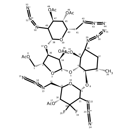 CC(=O)OC[C@H]1O[C@@H](O[C@H]2[C@H](O[C@H]3O[C@H](CN=[N+]=[N-])[C@@H](OC(C)=O)C(F)(F)C3N=[N+]=[N-])[C@@H](C)CC(N=[N+]=[N-])[C@@H]2OC(C)=O)[C@H](OC(C)=O)[C@@H]1O[C@H]1O[C@@H](CN=[N+]=[N-])[C@@H](OC(C)=O)[C@H](OC(C)=O)C1N=[N+]=[N-]